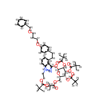 CC(C)(C)C(=O)OCCn1nc(O[C@@H]2O[C@H](COC(=O)C(C)(C)C)[C@@H](OC(=O)C(C)(C)C)[C@H](OC(=O)C(C)(C)C)[C@H]2OC(=O)C(C)(C)C)c2c(CCc3ccc(OCCCOCc4ccccc4)cc3)cccc21